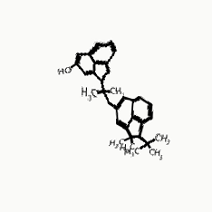 CC(C)(C)C1c2cccc3cc(CC(C)(C)C4Cc5cccc6cc(O)cc4c56)cc(c23)C1(C)C